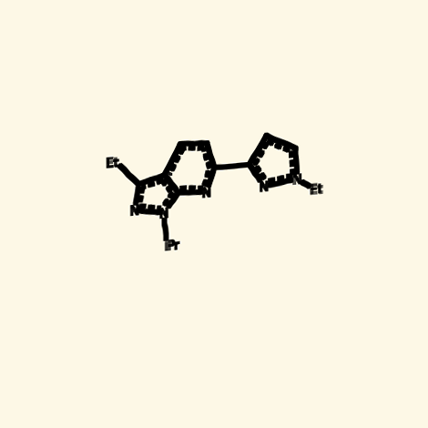 CCc1nn(C(C)C)c2nc(-c3ccn(CC)n3)ccc12